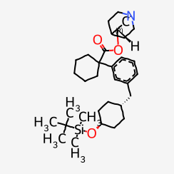 CC(C)(C)[Si](C)(C)O[C@H]1CC[C@H](Cc2cccc(C3(C(=O)O[C@H]4CN5CCC4CC5)CCCCC3)c2)CC1